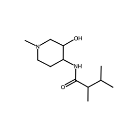 CC(C)C(C)C(=O)NC1CCN(C)CC1O